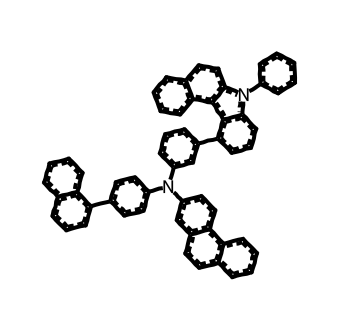 c1ccc(-n2c3cccc(-c4cccc(N(c5ccc(-c6cccc7ccccc67)cc5)c5ccc6c(ccc7ccccc76)c5)c4)c3c3c4ccccc4ccc32)cc1